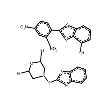 CCC1CN(Sc2nc3ccccc3s2)CC(CC)O1.O=[N+]([O-])c1ccc(-c2nc3c(S)cccc3s2)c([N+](=O)[O-])c1